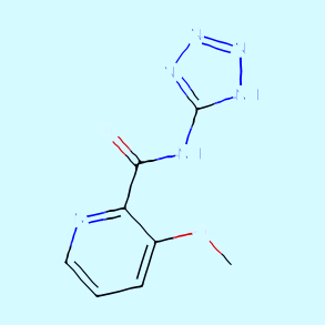 COc1cccnc1C(=O)Nc1nnn[nH]1